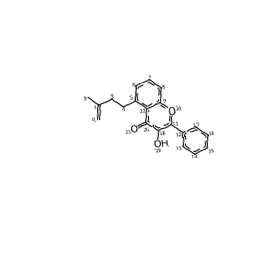 C=C(C)CCc1cccc2oc(-c3ccccc3)c(O)c(=O)c12